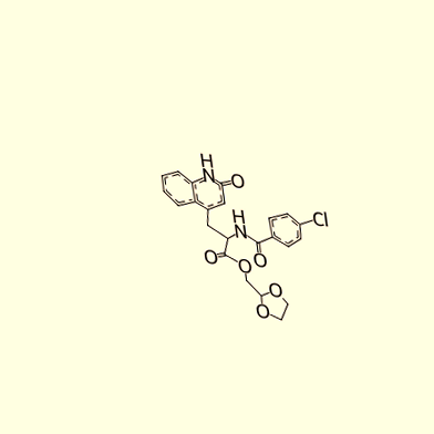 O=C(NC(Cc1cc(=O)[nH]c2ccccc12)C(=O)OCC1OCCO1)c1ccc(Cl)cc1